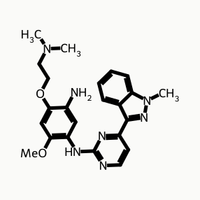 COc1cc(OCCN(C)C)c(N)cc1Nc1nccc(-c2nn(C)c3ccccc23)n1